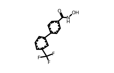 O=C(NO)c1ccc(-c2cccc(C(F)(F)F)c2)cc1